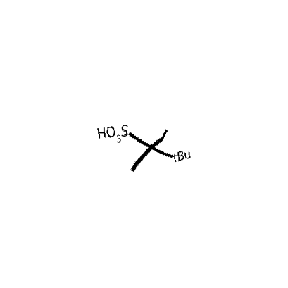 CC(C)(C)C(C)(C)S(=O)(=O)O